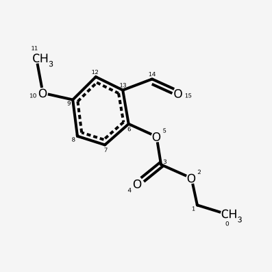 CCOC(=O)Oc1ccc(OC)cc1C=O